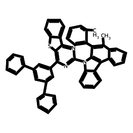 Cc1ccccc1-c1c(C)c2ccccc2c2c3ccccc3n(-c3nc(-c4cc(-c5ccccc5)cc(-c5ccccc5)c4)c4sc5ccccc5c4n3)c12